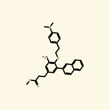 COC(=O)CCc1cc(N)c(OCCc2ccc(N(C)C)cc2)c(-c2ccc3ccccc3c2)c1